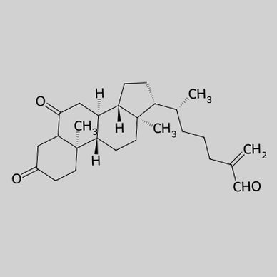 C=C(C=O)CCC[C@@H](C)[C@H]1CC[C@H]2[C@@H]3CC(=O)C4CC(=O)CC[C@]4(C)[C@H]3CC[C@]12C